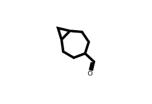 O=CC1CCC2CC2CC1